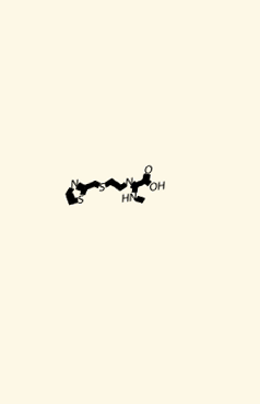 CN/C(=N\CCSCc1nccs1)C(=O)O